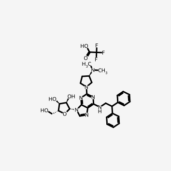 CN(C)[C@@H]1CCN(c2nc(NCC(c3ccccc3)c3ccccc3)c3ncn([C@@H]4O[C@H](CO)[C@@H](O)[C@H]4O)c3n2)C1.O=C(O)C(F)(F)F